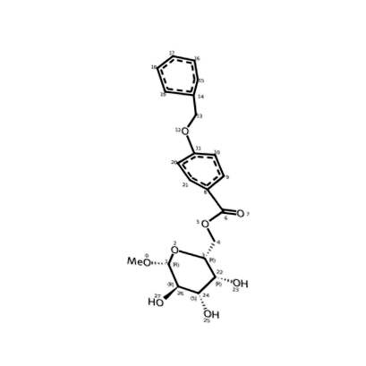 CO[C@@H]1O[C@H](COC(=O)c2ccc(OCc3ccccc3)cc2)[C@H](O)[C@H](O)[C@H]1O